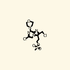 CS(=O)(=O)OCCc1c(CCl)nc2c(N3CCOCC3)nc(Cl)cn12